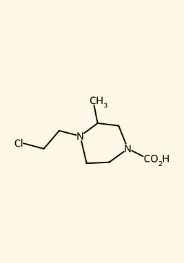 CC1CN(C(=O)O)CCN1CCCl